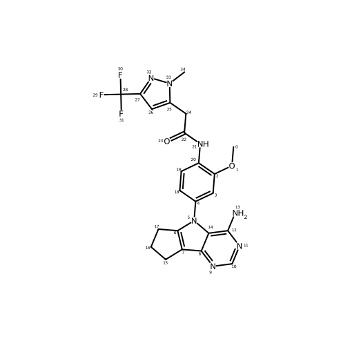 COc1cc(-n2c3c(c4ncnc(N)c42)CCC3)ccc1NC(=O)Cc1cc(C(F)(F)F)nn1C